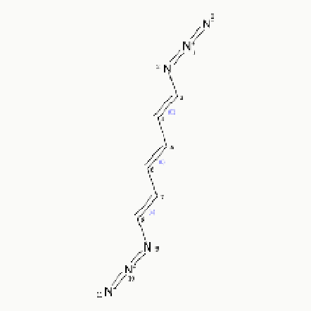 [N-]=[N+]=N/C=C/C=C/C=C/N=[N+]=[N-]